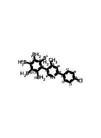 Bc1c(B)c(B)c(-c2cnc(-c3ccc(Cl)cc3)cc2C)c(B)c1B